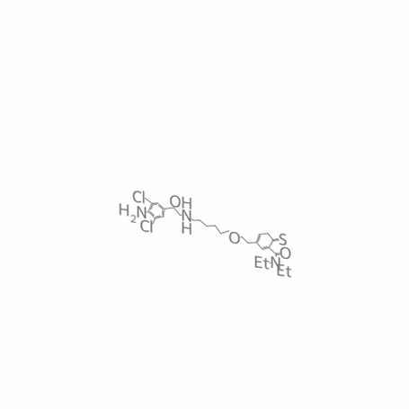 CCN(CC)C(=O)C1=CC(CCOCCCCCCNCC(O)c2cc(Cl)c(N)c(Cl)c2)=CCC1=S